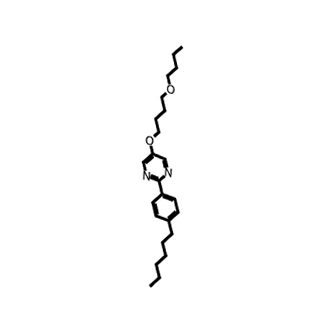 CCCCCCc1ccc(-c2ncc(OCCCCOCCCC)cn2)cc1